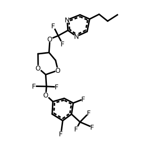 CCCc1cnc(C(F)(F)OC2COC(C(F)(F)Oc3cc(F)c(C(F)(F)F)c(F)c3)OC2)nc1